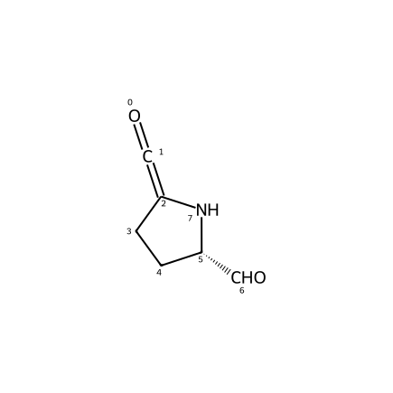 O=C=C1CC[C@@H](C=O)N1